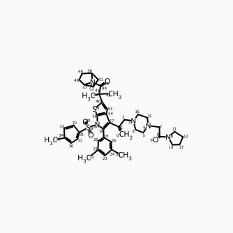 C=C(CN1CCN(CC(=O)N2CCCC2)CC1)c1c(-c2cc(C)cc(C)c2)n(S(=O)(=O)c2ccc(C)cc2)c2sc(C(C)(C)C(=O)N3C4CCC3CC4)cc12